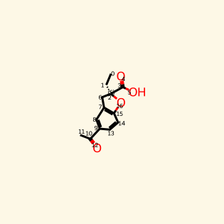 CC[C@@]1(C(=O)O)Cc2cc(C(C)=O)ccc2O1